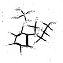 CCCCCCC(F)(F)C(F)(F)C(F)(F)[PH+](c1c(F)c(F)c(F)c(F)c1F)C(F)(F)C(F)(F)F.CCCCCCCCC[B-](CCCCCCCCC)(CCCCCCCCC)CCCCCCCCC